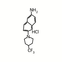 Cl.Nc1ccc2cc(N3CCC(C(F)(F)F)CC3)ccc2c1